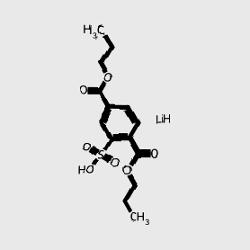 CCCOC(=O)c1ccc(C(=O)OCCC)c(S(=O)(=O)O)c1.[LiH]